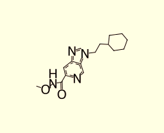 CONC(=O)c1cc2ncn(CCC3CCCCC3)c2cn1